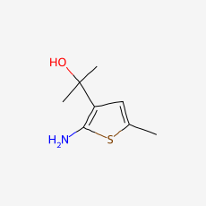 Cc1cc(C(C)(C)O)c(N)s1